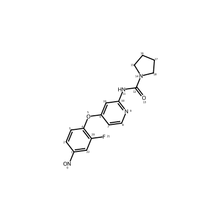 O=Nc1ccc(Oc2ccnc(NC(=O)N3CCCC3)c2)c(F)c1